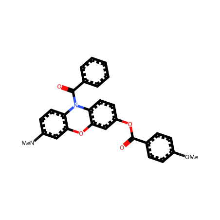 CNc1ccc2c(c1)Oc1cc(OC(=O)c3ccc(OC)cc3)ccc1N2C(=O)c1ccccc1